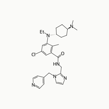 CCN(c1cc(Cl)cc(C(=O)NCc2nccn2Cc2ccncc2)c1C)[C@H]1CC[C@H](N(C)C)CC1